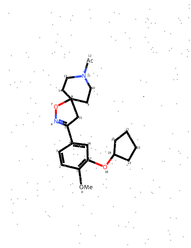 COc1ccc(C2=NOC3(CCN(C(C)=O)CC3)C2)cc1OC1CCCC1